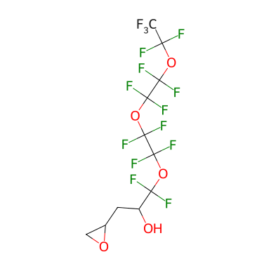 OC(CC1CO1)C(F)(F)OC(F)(F)C(F)(F)OC(F)(F)C(F)(F)OC(F)(F)C(F)(F)F